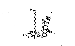 CC(C)c1cccc(C(C)C)c1OC1CCCC(OP(=O)(O)O)O1.CCCCCCCCCCCCC(CC(=O)[O-])NCCC(=O)[O-].[Na+].[Na+]